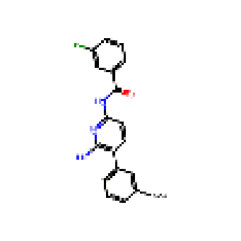 COc1cccc(-c2ccc(NC(=O)c3cccc(F)c3)nc2N)c1